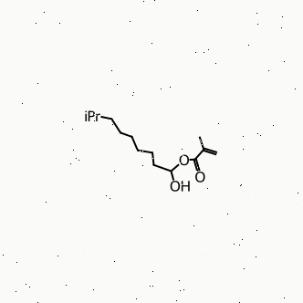 C=C(C)C(=O)OC(O)CCCCCCC(C)C